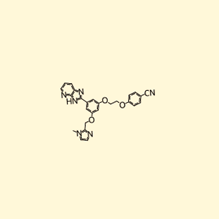 Cn1ccnc1COc1cc(OCCOc2ccc(C#N)cc2)cc(-c2nc3cccnc3[nH]2)c1